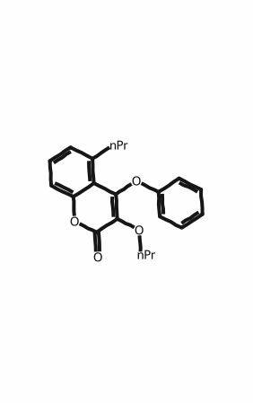 CCCOc1c(Oc2ccccc2)c2c(CCC)cccc2oc1=O